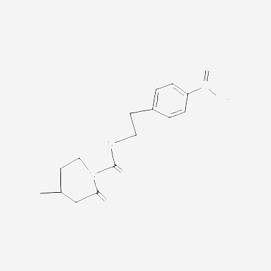 CC1CCN(C(=O)NCCc2ccc(S(=O)O)cc2)C(=O)C1